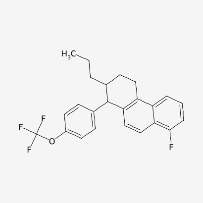 CCCC1CCc2c(ccc3c(F)cccc23)C1c1ccc(OC(F)(F)F)cc1